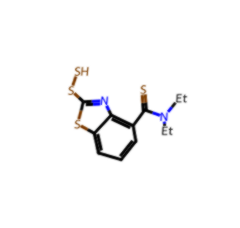 CCN(CC)C(=S)c1cccc2sc(SS)nc12